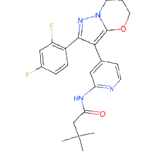 CC(C)(C)CC(=O)Nc1cc(-c2c(-c3ccc(F)cc3F)nn3c2OCCC3)ccn1